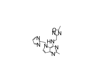 Cc1nc(NCc2noc(C)n2)c2c(ccn2Cc2ncccn2)n1